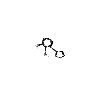 Nc1cccc(C2C=CCC2)c1N